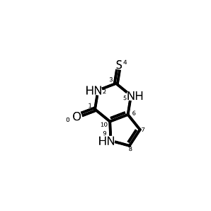 O=c1[nH]c(=S)[nH]c2cc[nH]c12